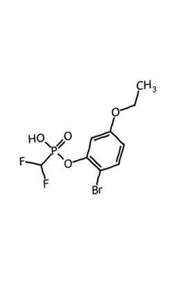 CCOc1ccc(Br)c(OP(=O)(O)C(F)F)c1